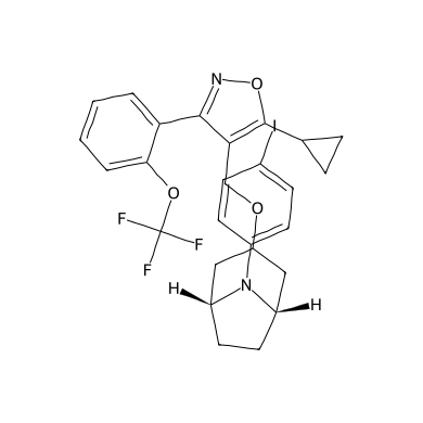 FC(F)(F)Oc1ccccc1-c1noc(C2CC2)c1COC1C[C@H]2CC[C@@H](C1)N2c1ccc(I)cc1